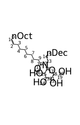 CCCCCCCC/C=C\CCCCCCCC(=O)N(CCCCCCCCCCCC)C1O[C@H](CO)[C@@H](O)[C@H](O)[C@H]1O